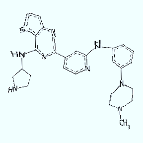 CN1CCN(c2cccc(Nc3cc(-c4nc(NC5CCNC5)c5sccc5n4)ccn3)c2)CC1